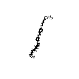 CCCCCCOc1ccc(N=Nc2ccc(OCCCCCCCCCCCO)cc2)cc1